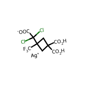 O=C(O)C1(C(=O)O)CC(C(F)(F)F)(C(Cl)(Cl)C(=O)[O-])C1.[Ag+]